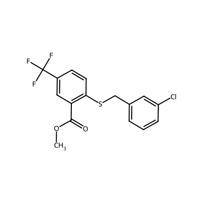 COC(=O)c1cc(C(F)(F)F)ccc1SCc1cccc(Cl)c1